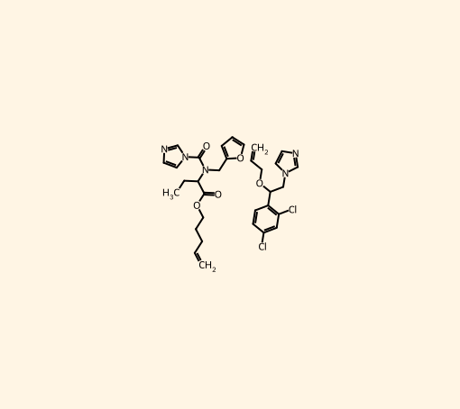 C=CCCCOC(=O)C(CC)N(Cc1ccco1)C(=O)n1ccnc1.C=CCOC(Cn1ccnc1)c1ccc(Cl)cc1Cl